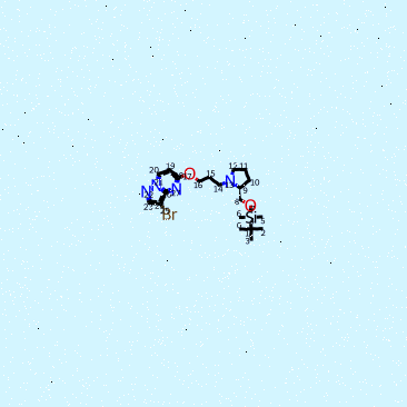 CC(C)(C)[Si](C)(C)OC[C@@H]1CCCN1CCCOc1ccn2ncc(Br)c2n1